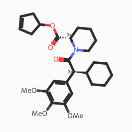 COc1cc([C@@H](C(=O)N2CCCC[C@H]2C(=O)OC2CC=CC2)C2CCCCC2)cc(OC)c1OC